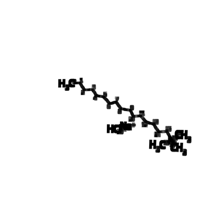 CCCCCCCCCCCCCCCC[N+](C)(C)C.Cl.[Na+]